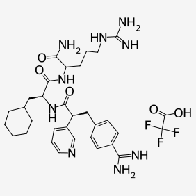 N=C(N)NCCCC(NC(=O)[C@H](CC1CCCCC1)NC(=O)[C@@H](Cc1ccc(C(=N)N)cc1)c1cccnc1)C(N)=O.O=C(O)C(F)(F)F